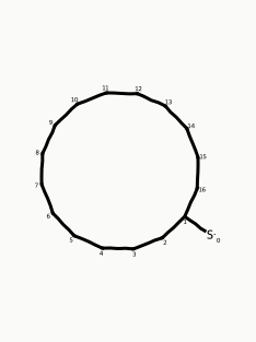 [S]C1CCCCCCCCCCCCCCC1